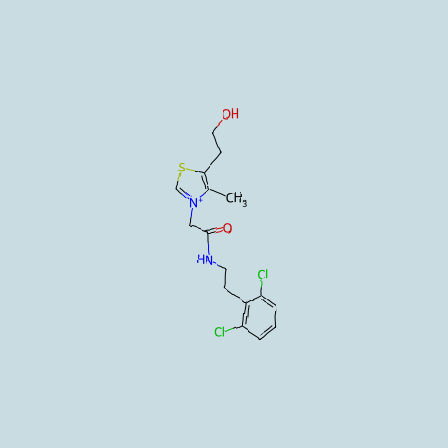 Cc1c(CCO)sc[n+]1CC(=O)NCCc1c(Cl)cccc1Cl